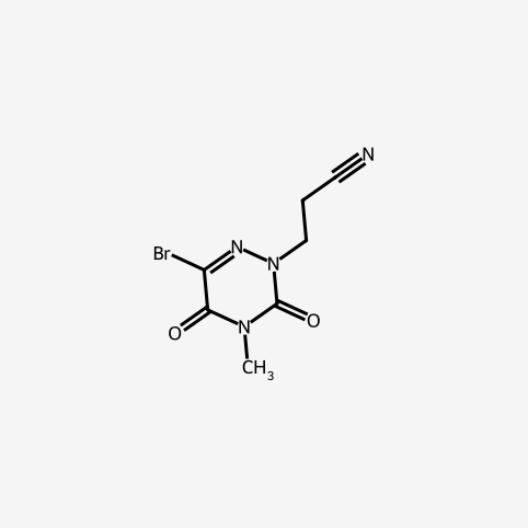 Cn1c(=O)c(Br)nn(CCC#N)c1=O